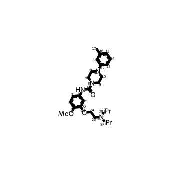 COc1ccc(NC(=O)N2CCN(c3cccc(C)c3)CC2)cc1OCCN(C(C)C)C(C)C